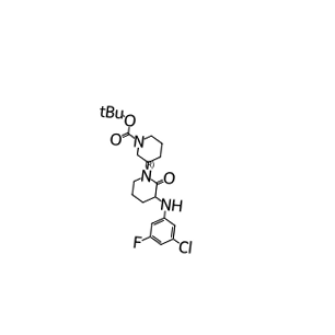 CC(C)(C)OC(=O)N1CCC[C@@H](N2CCCC(Nc3cc(F)cc(Cl)c3)C2=O)C1